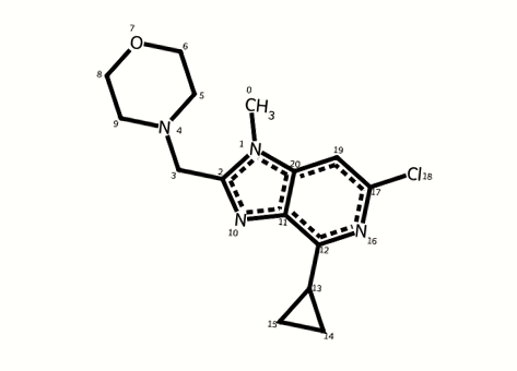 Cn1c(CN2CCOCC2)nc2c(C3CC3)nc(Cl)cc21